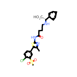 Cc1nc(NC(=O)CCCN[C@H](C(=O)O)c2ccccc2)sc1-c1ccc(Cl)c(S(C)(=O)=O)c1